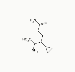 NC(=O)CCC(C1CC1)C(N)C(=O)O